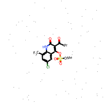 COS(=O)(=O)Oc1c(C(=O)C(C)C)c(=O)[nH]c2c(C(F)(F)F)cc(Cl)cc12